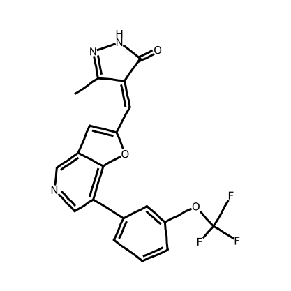 CC1=NNC(=O)/C1=C/c1cc2cncc(-c3cccc(OC(F)(F)F)c3)c2o1